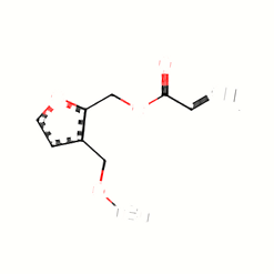 C=CC(=O)OCc1occc1COCCCC